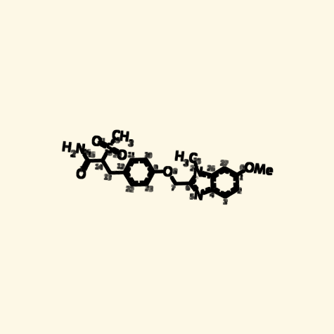 COc1ccc2nc(COc3ccc(CC(C(N)=O)S(C)(=O)=O)cc3)n(C)c2c1